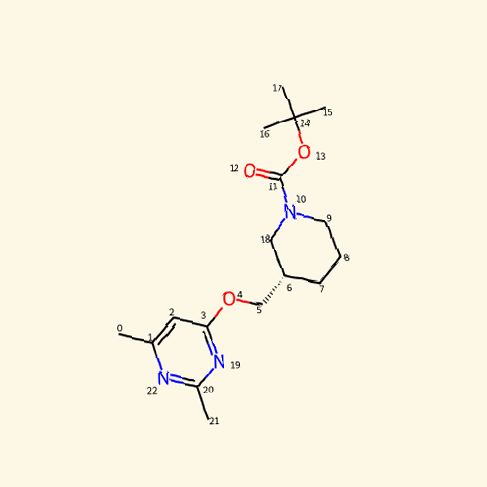 Cc1cc(OC[C@H]2CCCN(C(=O)OC(C)(C)C)C2)nc(C)n1